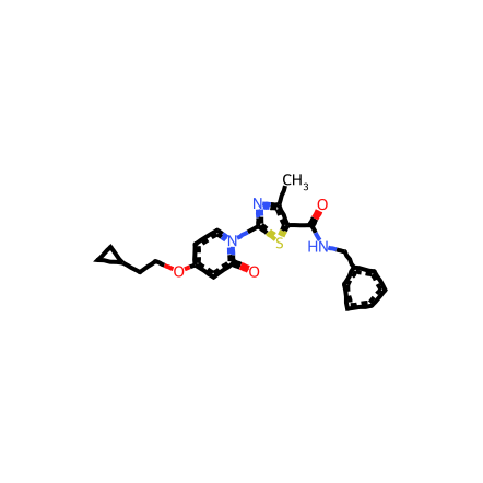 Cc1nc(-n2ccc(OCCC3CC3)cc2=O)sc1C(=O)NCc1ccccc1